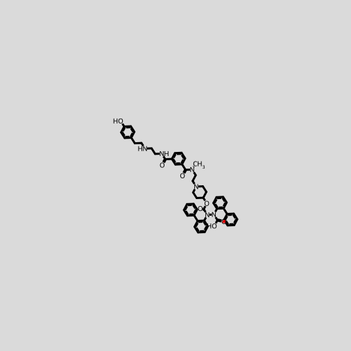 CN(CCN1CCC(OC(=O)N(c2ccccc2-c2ccccc2)N(C(=O)O)c2ccccc2-c2ccccc2)CC1)C(=O)c1cccc(C(=O)NCCNCCc2ccc(O)cc2)c1